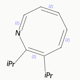 CC(C)C1=C(C(C)C)/N=C\C=C/C=C\1